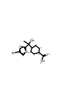 CC(O)(c1ncc(Br)s1)C1CCC(C(=O)O)CC1